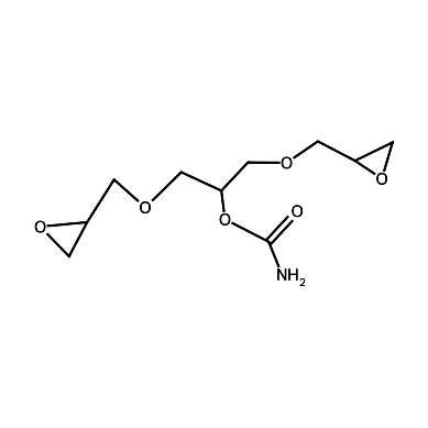 NC(=O)OC(COCC1CO1)COCC1CO1